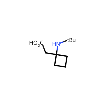 CC(C)(C)NC1(CC(=O)O)CCC1